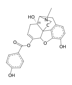 CN1CCC23c4c5ccc(O)c4OC2C(OC(=O)c2ccc(O)cc2)=CC[C@@]3(O)C1C5